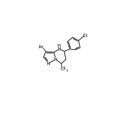 CCc1ccc(C2CC(C(F)(F)F)n3ncc(C(C)=O)c3N2)cc1